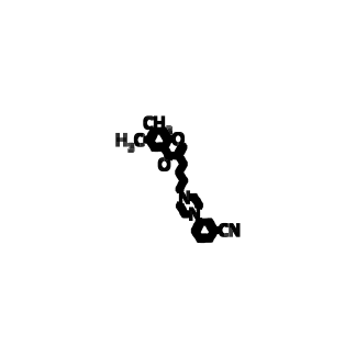 Cc1cc2occ(CCCCN3CCN(c4cccc(C#N)c4)CC3)c(=O)c2cc1C